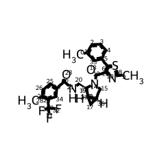 Cc1cccc(-c2sc(C)nc2C(=O)N2C[C@H]3C[C@H]3[C@H]2CNC(=O)c2ccc(C)c(C(F)(F)F)c2)c1